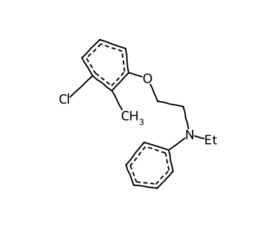 CCN(CCOc1cccc(Cl)c1C)c1ccccc1